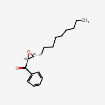 CCCCCCCCC[C@H]1O[C@@H]1C(=O)c1ccccc1